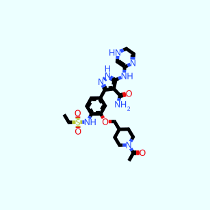 CCS(=O)(=O)Nc1ccc(-c2n[nH]c(NC3=CNCC=N3)c2C(N)=O)cc1OCC1CCN(C(C)=O)CC1